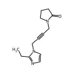 CCc1nccn1CC#CCN1CCCC1=O